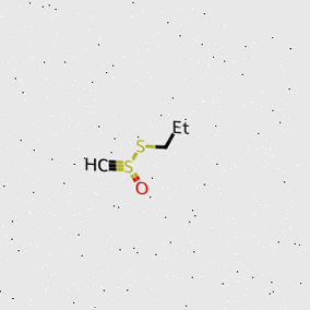 C#S(=O)SCCC